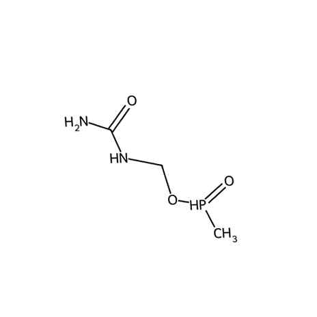 C[PH](=O)OCNC(N)=O